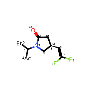 CCC(C(C)=O)N1C[C@H](C=C(F)F)CC1=O